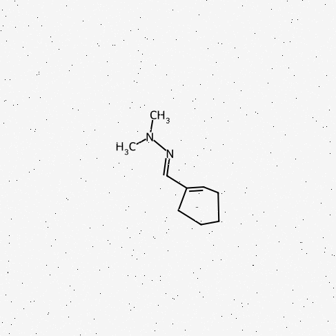 CN(C)N=CC1=CCCCC1